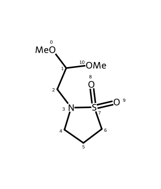 COC(CN1CCCS1(=O)=O)OC